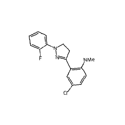 CNc1ccc(Cl)cc1C1=NN(c2ccccc2F)CC1